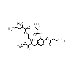 CCCC(=O)Oc1ccc(C[C@H](NCCOC(=O)C(C)CCC)C(=O)OC)cc1OC(=O)CCC